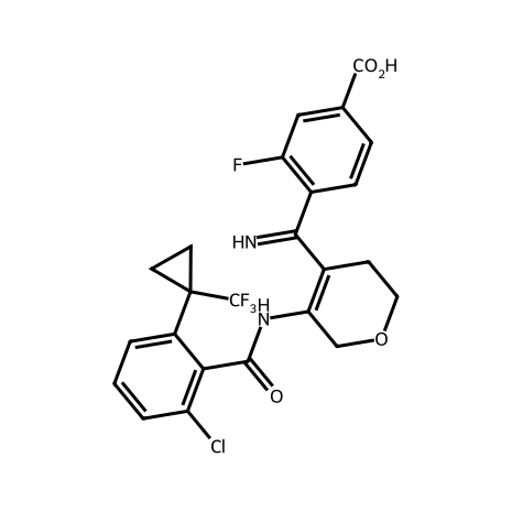 N=C(C1=C(NC(=O)c2c(Cl)cccc2C2(C(F)(F)F)CC2)COCC1)c1ccc(C(=O)O)cc1F